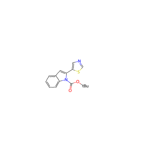 CC(C)(C)OC(=O)n1c(-c2cncs2)cc2ccccc21